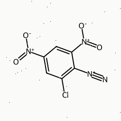 N#[N+]c1c(Cl)cc([N+](=O)[O-])cc1[N+](=O)[O-]